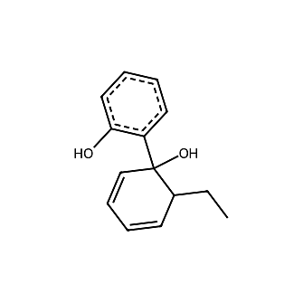 CCC1C=CC=CC1(O)c1ccccc1O